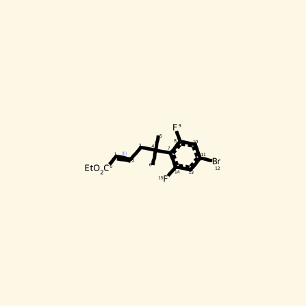 CCOC(=O)/C=C/CC(C)(C)c1c(F)cc(Br)cc1F